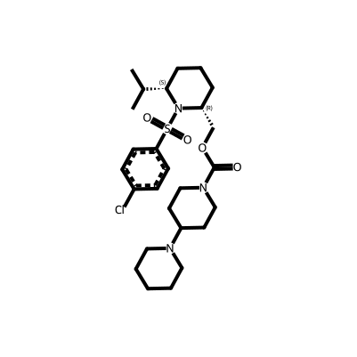 CC(C)[C@@H]1CCC[C@H](COC(=O)N2CCC(N3CCCCC3)CC2)N1S(=O)(=O)c1ccc(Cl)cc1